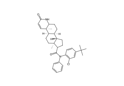 CC(C)(C)c1ccc(N(C(=O)C2CC[C@H]3[C@@H]4CCC5NC(=O)C=C[C@]5(C)[C@@H]4CC[C@]23C)c2ccccc2)c(Cl)c1